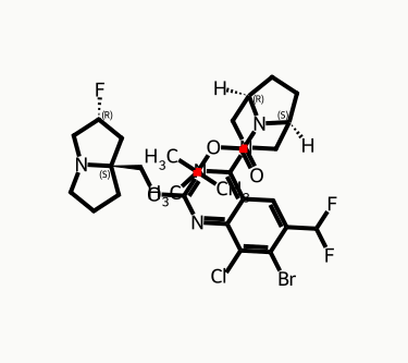 CC(C)(C)OC(=O)N1[C@@H]2CC[C@H]1CN(c1nc(OC[C@@]34CCCN3C[C@H](F)C4)nc3c(Cl)c(Br)c(C(F)F)cc13)C2